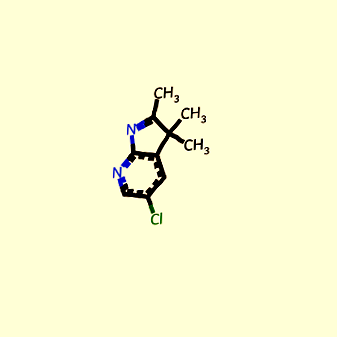 CC1=Nc2ncc(Cl)cc2C1(C)C